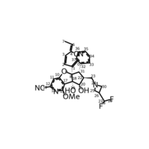 C=C(/C=C\C(C#N)=C/C)[C@@]12Oc3cc(C#N)nc(OC)c3[C@]1(O)[C@H](O)[C@H](CN1CC(C(F)F)C1)[C@H]2c1ccccc1